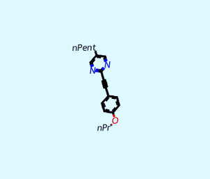 CCCCCc1cnc(C#Cc2ccc(OCCC)cc2)nc1